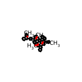 Cc1ccc(C(=CC2CCCCC2)c2ccc(N(c3ccc(C)cc3)c3ccc4cccc5c4c3c3cccc4c3c5c3cccc5c6c(N(c7ccc(C)cc7)c7ccc(C(=CC8CCCCC8)c8ccc(C)cc8)cc7)ccc7cccc(c76)c4c53)cc2)cc1